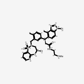 CC[C@@H]1CN(Cc2cc([C@H](CC(=O)NCCOC)c3ccc4c(nnn4CC)c3C)ccc2C)S(=O)(=O)c2cccnc2O1